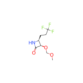 COCO[C@H]1C(=O)N[C@H]1CCC(F)(F)F